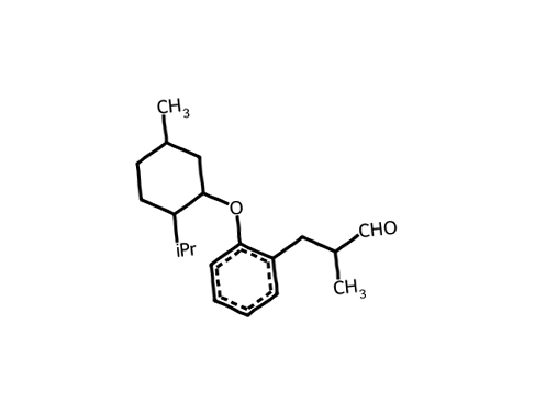 CC(C=O)Cc1ccccc1OC1CC(C)CCC1C(C)C